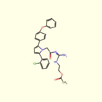 CC(=O)OCCN/C(N)=N\C(=O)Cn1c(-c2ccc(Oc3ccccc3)cc2)ccc1-c1ccccc1Cl